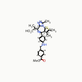 COC(=O)c1ccc(CNc2ccc(C3=NC([C@H](C)C(=O)O)c4nnc(C)n4-c4sc(C)c(C)c43)cc2)cc1